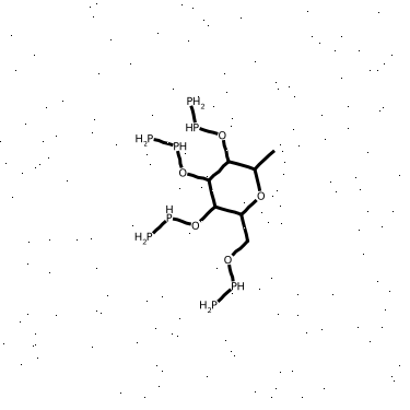 CC1OC(COPP)C(OPP)C(OPP)C1OPP